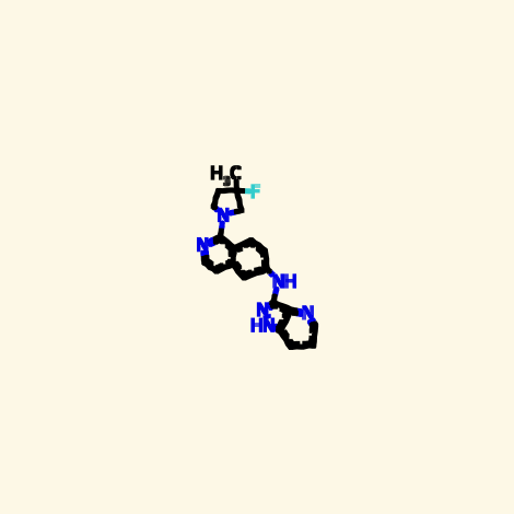 CC1(F)CCN(c2nccc3cc(Nc4n[nH]c5cccnc45)ccc23)C1